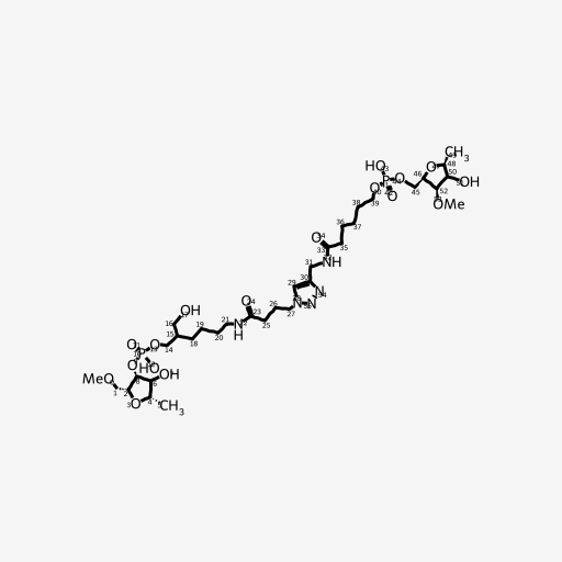 COC[C@H]1O[C@@H](C)C(O)[C@H]1OP(=O)(O)OCC(CO)CCCCNC(=O)CCCn1cc(CNC(=O)CCCCCOP(=O)(O)OC[C@H]2O[C@@H](C)C(O)[C@H]2OC)nn1